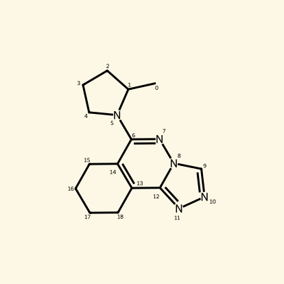 CC1CCCN1c1nn2cnnc2c2c1CCCC2